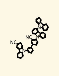 N#Cc1ccc2c(c1)c1ccccc1n2-c1cccc(-c2ccc(-n3c4ccccc4c4c(-n5c6ccccc6c6ccccc65)cccc43)c(C#N)c2)c1